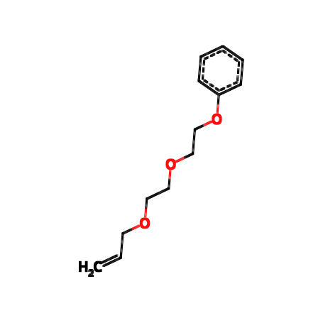 C=CCOCCOCCOc1ccccc1